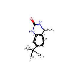 CC1NC(=O)Nc2cc(C(C)(C)C)ccc21